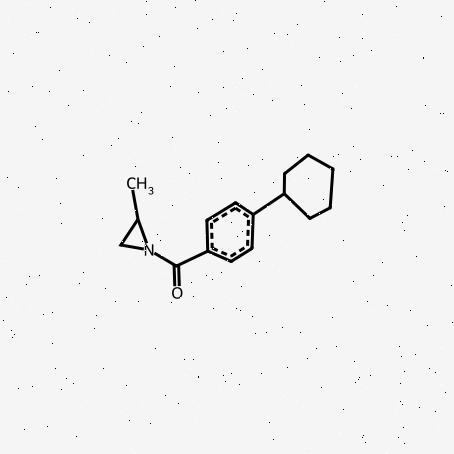 CC1CN1C(=O)c1ccc(C2CCCCC2)cc1